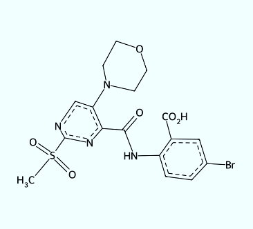 CS(=O)(=O)c1ncc(N2CCOCC2)c(C(=O)Nc2ccc(Br)cc2C(=O)O)n1